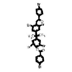 CC(C)(c1cc(Br)c(CC(=O)c2ccc(Br)cc2)c(Br)c1)c1cc(Br)c(OC(=O)c2ccc(Br)cc2)c(Br)c1